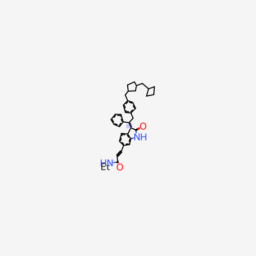 CCNC(=O)C#Cc1ccc2c(c1)NC(=O)/C2=C(\Cc1ccc(CC2CCC(CC3CCC3)C2)cc1)c1ccccc1